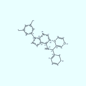 Cc1cc(C)cc(-n2ncc3c(NC(C4=CC=CCC4)C4=COC=CO4)ncnc32)c1